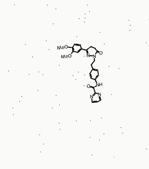 COc1ccc(C2=NN(CCc3ccc(NC(=O)c4ncccn4)cc3)C(=O)CC2)cc1OC